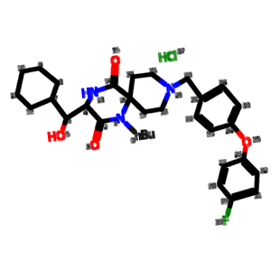 CCCCN1C(=O)C(C(O)C2CCCCC2)NC(=O)C12CCN(Cc1ccc(Oc3ccc(F)cc3)cc1)CC2.Cl